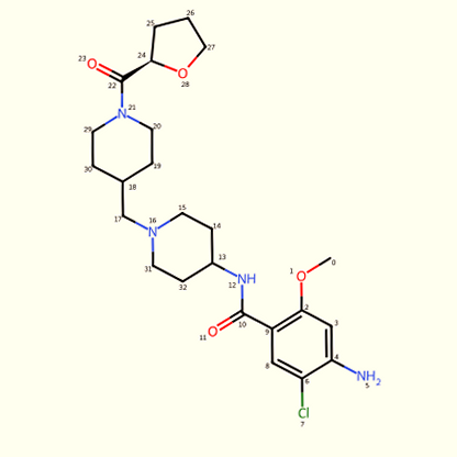 COc1cc(N)c(Cl)cc1C(=O)NC1CCN(CC2CCN(C(=O)[C@H]3CCCO3)CC2)CC1